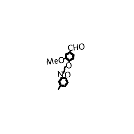 COc1cc(C=O)ccc1OCc1nc2cc(C)ccc2o1